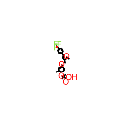 Cc1cc(OCc2cc(-c3ccc(C(F)(F)F)cc3)oc2C)ccc1OC(C)(C)C(=O)O